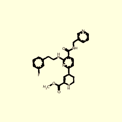 COC(=O)C1=CC(c2ccc(C(=O)NCc3cccnc3)c(NCCc3cccc(F)c3)n2)CCN1